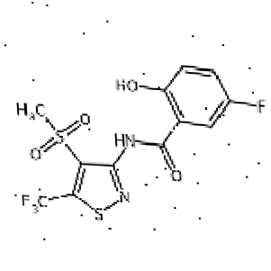 CS(=O)(=O)c1c(NC(=O)c2cc(F)ccc2O)nsc1C(F)(F)F